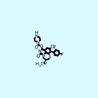 CO[C@@H]1CSc2c(-c3ccc(F)cc3F)c(Cl)cc3c(OC(=O)N4CCNCC4)nc(=O)n(c23)C1